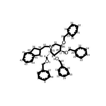 c1ccc(COC[C@H]2[C@@H](OCc3ccccc3)[C@H](OCc3ccccc3)[C@@H](OCc3ccccc3)CN2CC2Cc3ccccc3C2)cc1